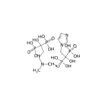 CN(C)CCC(O)(P(=O)(O)O)P(=O)(O)O.O=P(O)(O)C(O)(Cn1ccnc1)P(=O)(O)O